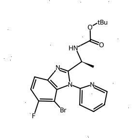 C[C@H](NC(=O)OC(C)(C)C)c1nc2ccc(F)c(Br)c2n1-c1ccccn1